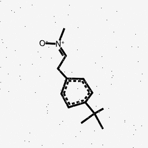 C[N+]([O-])=CCc1ccc(C(C)(C)C)cc1